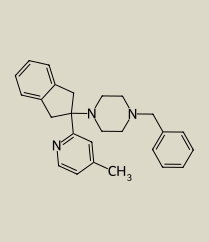 Cc1ccnc(C2(N3CCN(Cc4ccccc4)CC3)Cc3ccccc3C2)c1